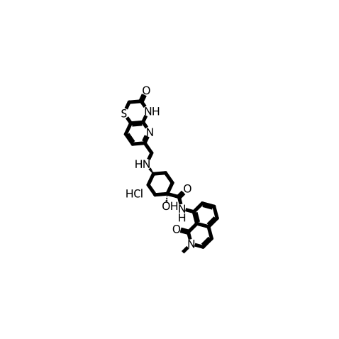 Cl.Cn1ccc2cccc(NC(=O)[C@]3(O)CC[C@H](NCc4ccc5c(n4)NC(=O)CS5)CC3)c2c1=O